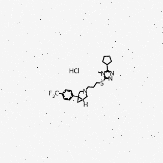 Cl.Cn1c(SCCCN2C[C@@H]3C[C@]3(c3ccc(C(F)(F)F)cc3)C2)nnc1C1CCCC1